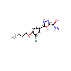 CCCCOc1ccc(-c2nnc(C(N)=O)o2)cc1Cl